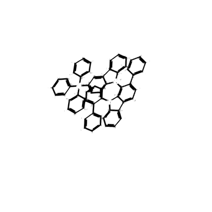 c1ccc(-c2ccccc2-n2c3ccccc3c3ccc(-c4ccccc4)c(-n4c5ccccc5c5cc([Si](c6ccccc6)(c6ccccc6)c6ccccc6)ccc54)c32)cc1